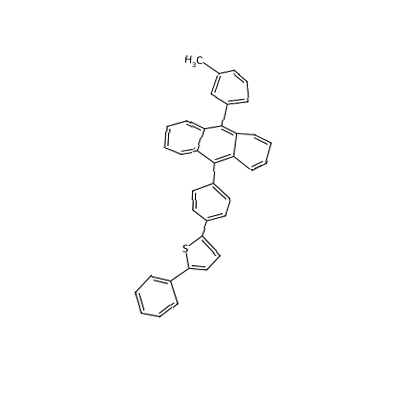 Cc1cccc(-c2c3ccccc3c(-c3ccc(-c4ccc(-c5ccccc5)s4)cc3)c3ccccc23)c1